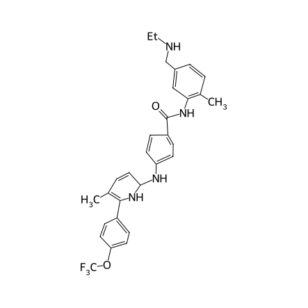 CCNCc1ccc(C)c(NC(=O)c2ccc(NC3C=CC(C)=C(c4ccc(OC(F)(F)F)cc4)N3)cc2)c1